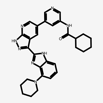 O=C(Nc1cncc(-c2cnc3[nH]nc(-c4nc5c(N6CCCCC6)cccc5[nH]4)c3c2)c1)C1CCCCC1